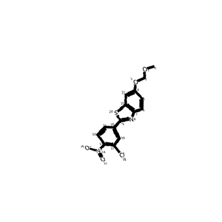 COCOc1ccc2nc(-c3ccc([N+](=O)[O-])c(Cl)c3)sc2c1